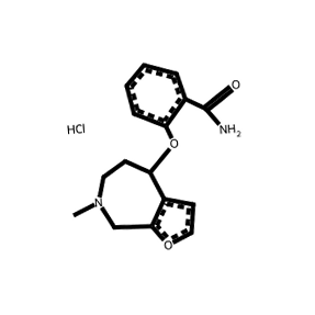 CN1CCC(Oc2ccccc2C(N)=O)c2ccoc2C1.Cl